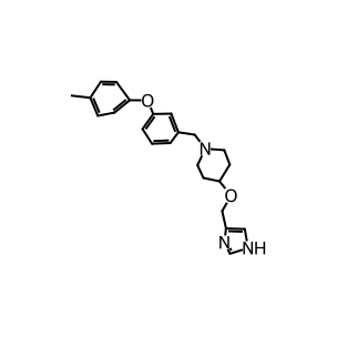 Cc1ccc(Oc2cccc(CN3CCC(OCc4c[nH]cn4)CC3)c2)cc1